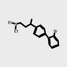 CCN(CC)CCC(C)c1ccc(-c2ccccc2Br)cc1